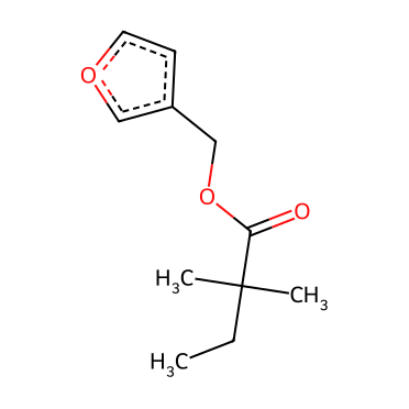 CCC(C)(C)C(=O)OCc1ccoc1